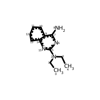 CCN(CC)c1nc(N)c2ccccc2n1